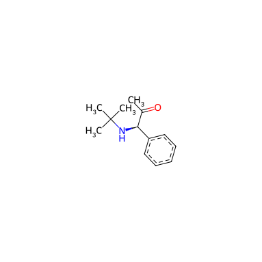 CC(=O)[C@H](NC(C)(C)C)c1ccccc1